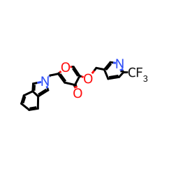 O=c1cc(Cn2cc3ccccc3c2)occ1OCc1ccc(C(F)(F)F)nc1